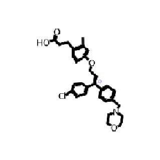 Cc1cc(OC/C=C(\c2ccc(Cl)cc2)c2ccc(CN3CCOCC3)cc2)ccc1CCC(=O)O